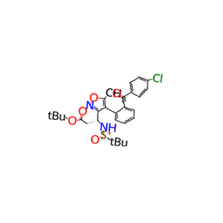 Cc1onc([C@@H](CC(=O)OC(C)(C)C)N[S@+]([O-])C(C)(C)C)c1-c1ccccc1C(=O)c1ccc(Cl)cc1